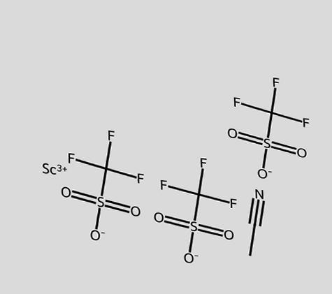 CC#N.O=S(=O)([O-])C(F)(F)F.O=S(=O)([O-])C(F)(F)F.O=S(=O)([O-])C(F)(F)F.[Sc+3]